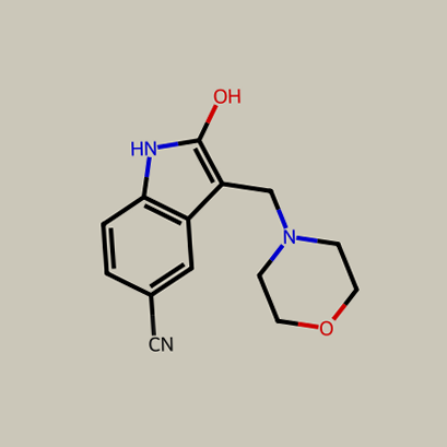 N#Cc1ccc2[nH]c(O)c(CN3CCOCC3)c2c1